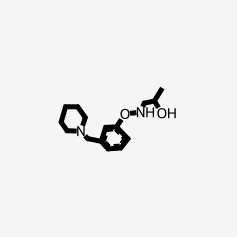 CC(O)CNOc1cccc(CN2CCCCC2)c1